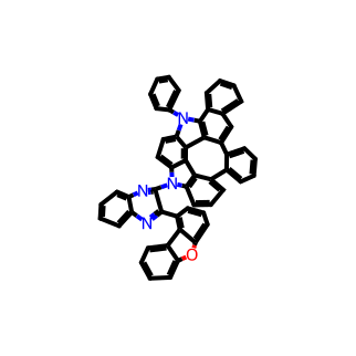 c1ccc(-n2c3ccc4c5c6c(cccc6n4-c4nc6ccccc6nc4-c4cccc6oc7ccccc7c46)c4ccccc4c4cc6ccccc6c2c4c53)cc1